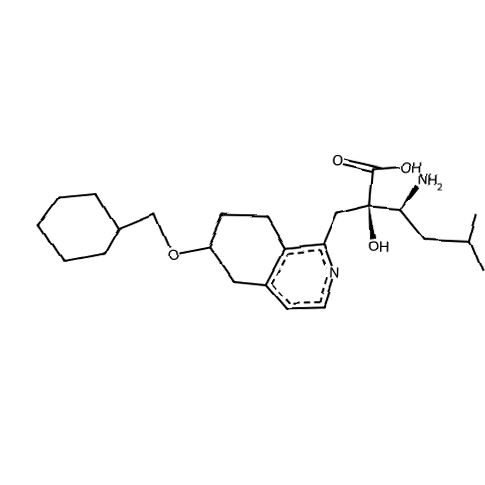 CC(C)C[C@H](N)[C@](O)(Cc1nccc2c1CCC(OCC1CCCCC1)C2)C(=O)O